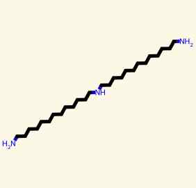 NCCCCCCCCCCCCCNCCCCCCCCCCCCCN